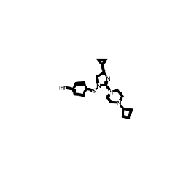 CC(C)C1=CCC(SN2CC(C3CC3)N=C2N2CCN(C3CCC3)CC2)C=C1